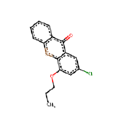 CCCOc1cc(Cl)cc2c(=O)c3ccccc3sc12